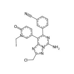 N#Cc1cccc(-c2nc(N)n3nc(CCl)nc3c2-c2ccc(=O)n(CI)c2)c1